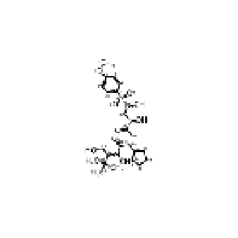 COc1ccc(S(=O)(=O)N(C)CN(O)C(=O)C[C@@H](C(=O)N(C)[C@H](CO)C(C)(C)C)C2CCCC2)cc1